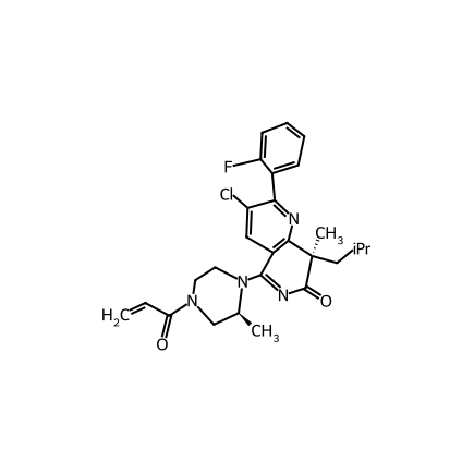 C=CC(=O)N1CCN(C2=NC(=O)[C@](C)(CC(C)C)c3nc(-c4ccccc4F)c(Cl)cc32)[C@@H](C)C1